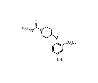 CCOC(=O)c1cc(N)ccc1OC1CCN(C(=O)OC(C)(C)C)CC1